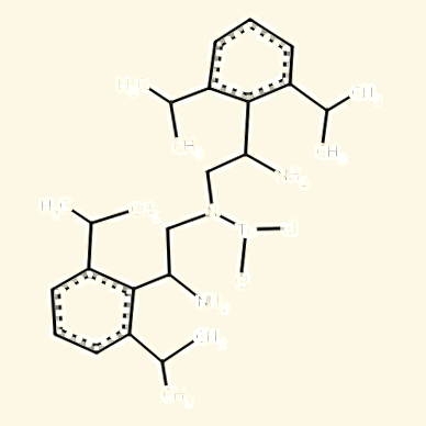 CC(C)c1cccc(C(C)C)c1C(N)C[N](CC(N)c1c(C(C)C)cccc1C(C)C)[Tc]([Cl])[Cl]